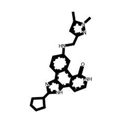 Cc1cc(CNc2ccc3c(c2)c2c(=O)[nH]ccc2c2[nH]c(C4CCCC4)nc32)nn1C